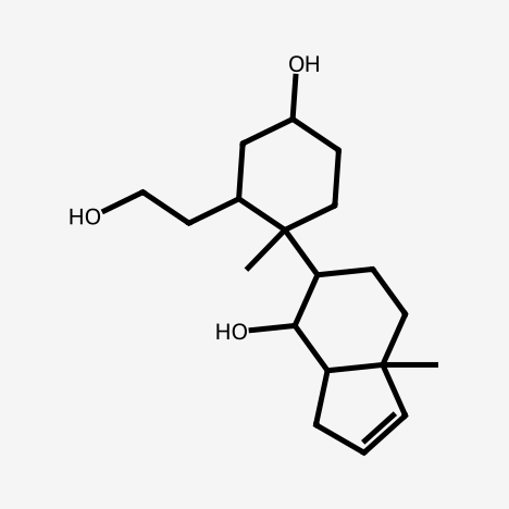 CC12C=CCC1C(O)C(C1(C)CCC(O)CC1CCO)CC2